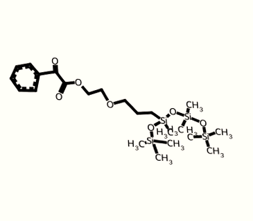 C[Si](C)(C)O[Si](C)(C)O[Si](C)(CCCOCCOC(=O)C(=O)c1ccccc1)O[Si](C)(C)C